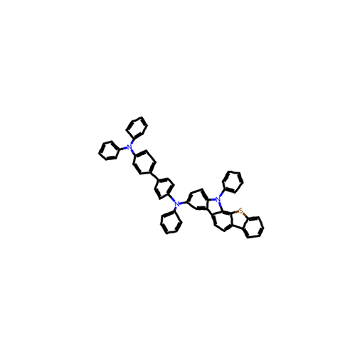 c1ccc(N(c2ccccc2)c2ccc(-c3ccc(N(c4ccccc4)c4ccc5c(c4)c4ccc6c7ccccc7sc6c4n5-c4ccccc4)cc3)cc2)cc1